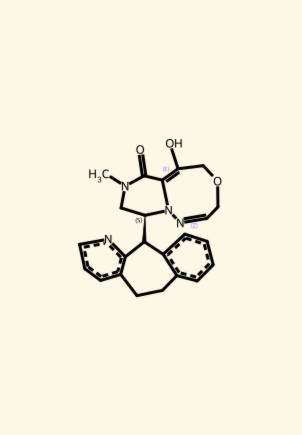 CN1C[C@H](C2c3ccccc3CCc3cccnc32)N2/N=C\COC/C(O)=C\2C1=O